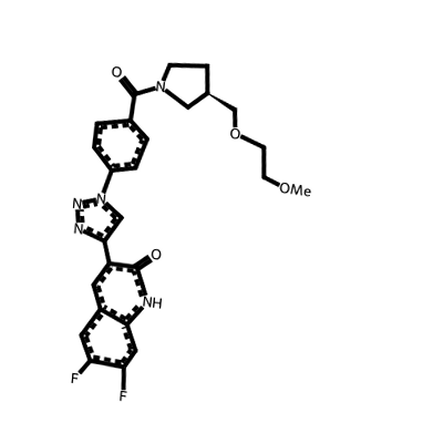 COCCOC[C@@H]1CCN(C(=O)c2ccc(-n3cc(-c4cc5cc(F)c(F)cc5[nH]c4=O)nn3)cc2)C1